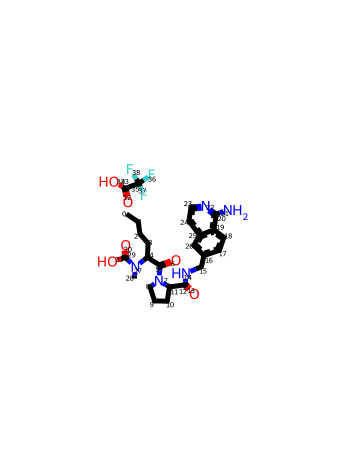 CCCCC(C(=O)N1CCCC1C(=O)NCc1ccc2c(N)nccc2c1)N(C)C(=O)O.O=C(O)C(F)(F)F